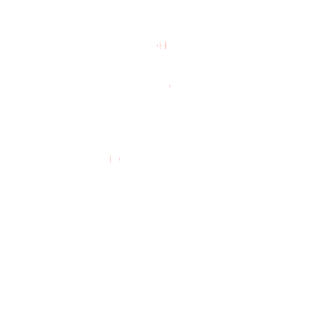 CCCCCCCc1cc(O)c2c(c1)OC(O)CC2C(CC)=C(C)C